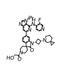 CC(C)n1cnc2cc(-c3ccc4c(c3)N([C@H]3C[C@@H](N5CCCC6(CC6)C5)C3)C(=O)C43CCN(C(=O)CO)CC3)nc(Nc3ccncc3F)c21